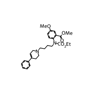 CCOC(=O)N(CCCCN1CC=C(c2ccccc2)CC1)c1ccc(OC)cc1C(=O)OC